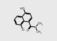 CN(C)C(=O)c1ccc(O)c2cccc(Cl)c12